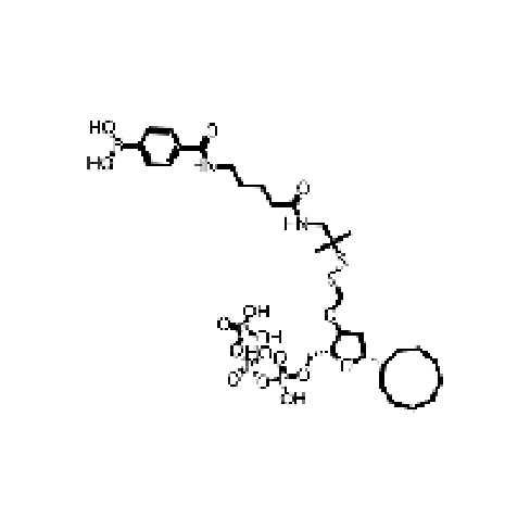 CC(C)(CNC(=O)CCCCNC(=O)c1ccc(B(O)O)cc1)SSCOC1C[C@H](C2CCCCCCCC2)O[C@@H]1COP(=O)(O)OP(=O)(O)OP(=O)(O)O